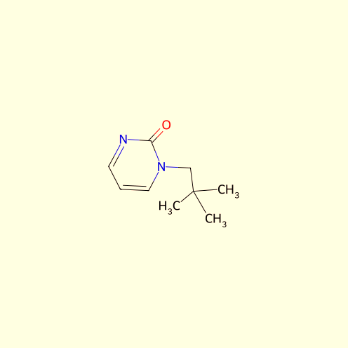 CC(C)(C)Cn1cccnc1=O